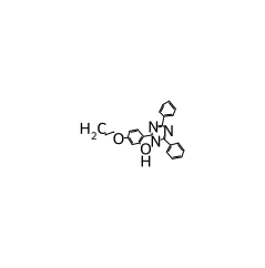 C=CCOc1ccc(-c2nc(-c3ccccc3)nc(-c3ccccc3)n2)c(O)c1